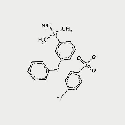 C[Si](C)(C)c1cccc([I+]c2ccccc2)c1.Cc1ccc(S(=O)(=O)[O-])cc1